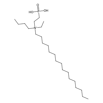 CCCCCCCCCCCCCCCC[N+](CC)(CCCC)CCP(=O)(O)O